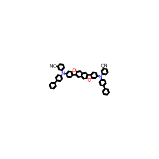 N#Cc1cccc(N(c2ccc(-c3ccccc3)cc2)c2ccc3c(c2)oc2cc4cc5c(cc4cc23)oc2cc(N(c3ccc(-c4ccccc4)cc3)c3cccc(C#N)c3)ccc25)c1